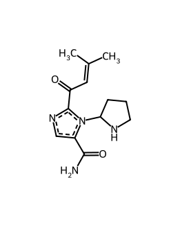 CC(C)=CC(=O)c1ncc(C(N)=O)n1C1CCCN1